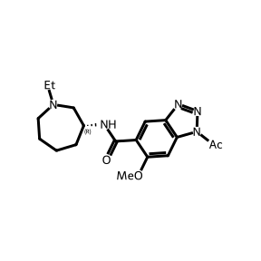 CCN1CCCC[C@@H](NC(=O)c2cc3nnn(C(C)=O)c3cc2OC)C1